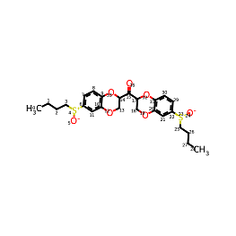 CCCC[S+]([O-])c1ccc2c(c1)OCC(C(=O)C1COc3cc([S+]([O-])CCCC)ccc3O1)O2